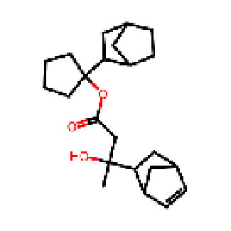 CC(O)(CC(=O)OC1(C2CC3CCC2C3)CCCC1)C1CC2C=CC1C2